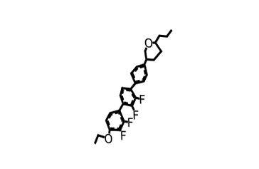 CCCC1CCC(c2ccc(-c3ccc(-c4ccc(OCC)c(F)c4F)c(F)c3F)cc2)CO1